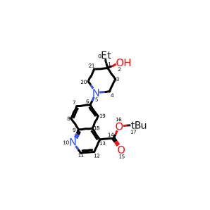 CCC1(O)CCN(c2ccc3nccc(C(=O)OC(C)(C)C)c3c2)CC1